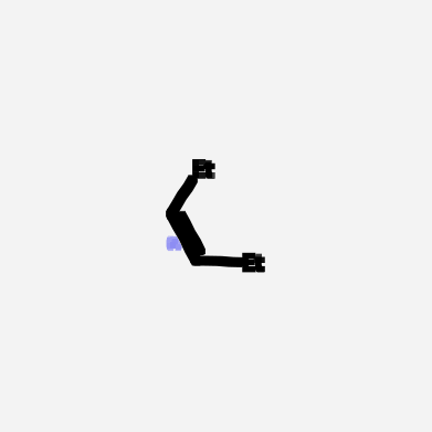 [CH2]C/C=C\C[CH2]